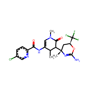 CC1C(NC(=O)c2ccc(Cl)cn2)=CN(C)C(=O)C1[C@]1(C)C[C@@H](C(F)(F)F)OC(N)=N1